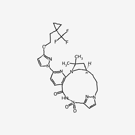 CC1(C)C[C@H]2CCCn3ccc(n3)S(=O)(=O)NC(=O)c3ccc(-n4ccc(OCCC5(C(F)(F)F)CC5)n4)nc3N1C2